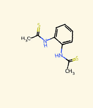 CC(=S)Nc1ccccc1NC(C)=S